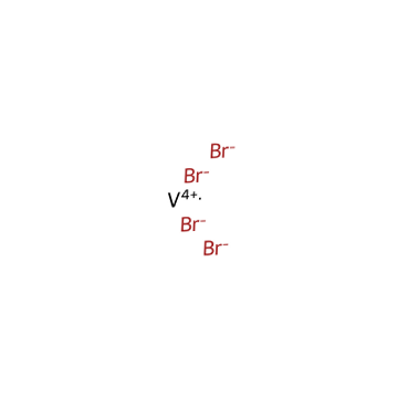 [Br-].[Br-].[Br-].[Br-].[V+4]